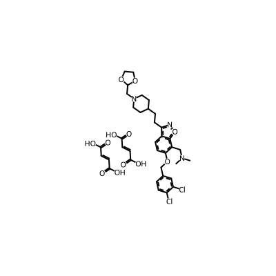 CN(C)Cc1c(OCc2ccc(Cl)c(Cl)c2)ccc2c(CCC3CCN(CC4OCCO4)CC3)noc12.O=C(O)C=CC(=O)O.O=C(O)C=CC(=O)O